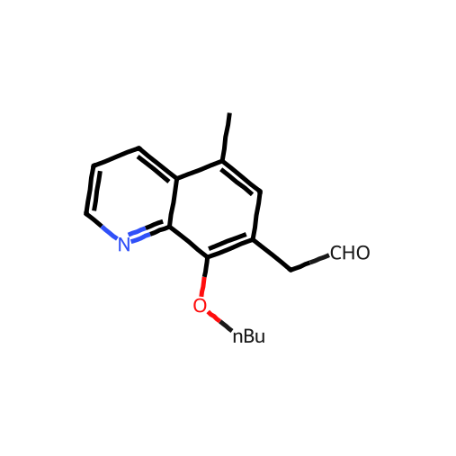 CCCCOc1c(CC=O)cc(C)c2cccnc12